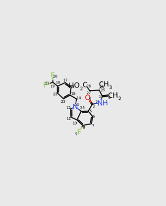 C=C(NC(=O)c1ccc(F)c2ccn(Cc3ccc(C(F)F)cc3)c12)[C@@H](C)CC(=O)O